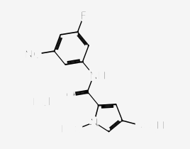 Cl.Cn1cc(S(=O)(=O)O)cc1C(=O)Nc1cc(F)cc(C#N)c1